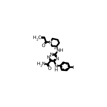 C=CC(=O)N1CCC[C@@H](Nc2nnc(C(N)=O)c(Nc3ccc(I)cc3)n2)C1